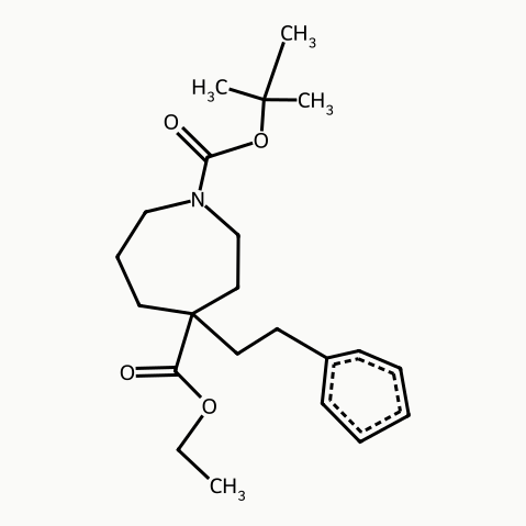 CCOC(=O)C1(CCc2ccccc2)CCCN(C(=O)OC(C)(C)C)CC1